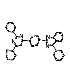 c1ccc(-c2cc(-c3ccc(-c4nc(-c5ccccc5)c5ccccc5n4)cc3)nc(-c3ccccc3)n2)cc1